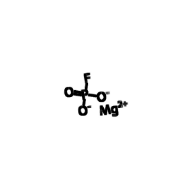 O=P([O-])([O-])F.[Mg+2]